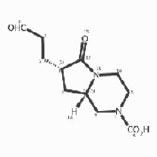 O=CCC[C@H]1C[C@H]2CN(C(=O)O)CCN2C1=O